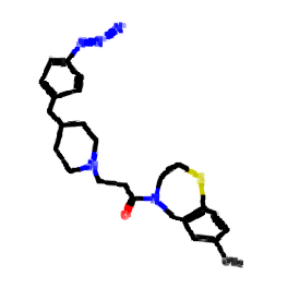 COc1ccc2c(c1)CN(C(=O)CCN1CCC(Cc3ccc(N=[N+]=[N-])cc3)CC1)CCS2